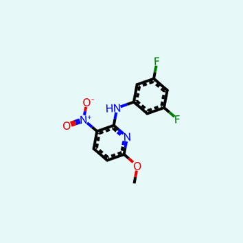 COc1ccc([N+](=O)[O-])c(Nc2cc(F)cc(F)c2)n1